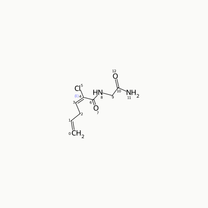 C=CC/C=C(/Cl)C(=O)NCC(N)=O